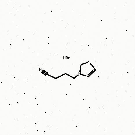 Br.N#CCCCN1C=CSC1